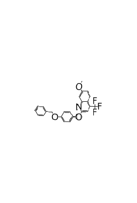 COc1ccc2c(C(F)(F)F)cc(Oc3ccc(OCc4ccccc4)cc3)nc2c1